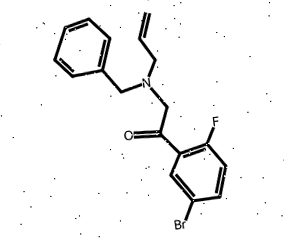 C=CCN(CC(=O)c1cc(Br)ccc1F)Cc1ccccc1